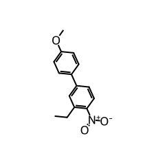 CCc1cc(-c2ccc(OC)cc2)ccc1[N+](=O)[O-]